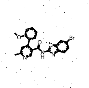 COc1ccccc1-c1cc(C)ncc1C(=O)Nc1nc2ccc(Br)cc2o1